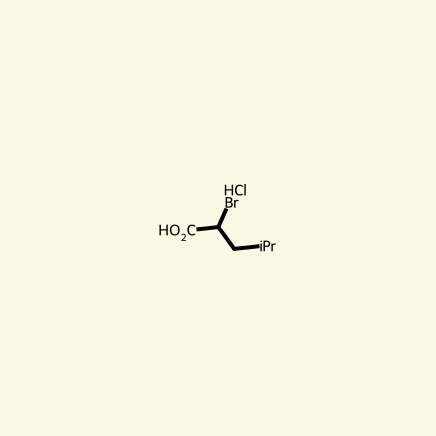 CC(C)CC(Br)C(=O)O.Cl